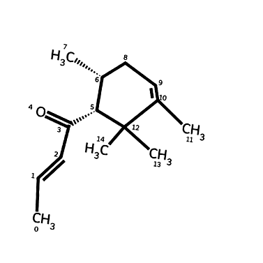 C/C=C/C(=O)[C@@H]1[C@H](C)CC=C(C)C1(C)C